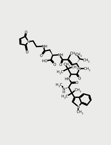 CN[C@H](C(=O)NC(C(=O)N(C)[C@H](/C=C(\C)C(=O)N[C@H](CC(=O)NCCN1C(=O)C=CC1=O)C(=O)O)C(C)C)C(C)(C)C)C(C)(C)c1cn(C)c2ccccc12